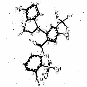 Nc1cccc(NC(=O)c2cc(Cl)c(C(F)(F)F)cc2C2CCOc3c(F)cccc32)c1S(=O)(=O)O